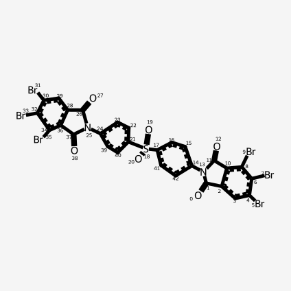 O=C1c2cc(Br)c(Br)c(Br)c2C(=O)N1c1ccc(S(=O)(=O)c2ccc(N3C(=O)c4cc(Br)c(Br)c(Br)c4C3=O)cc2)cc1